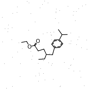 CCOC(=O)CCC(CC)Cc1ccc(C(C)C)cc1